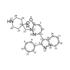 O=c1ccc(-c2c(-c3ccccc3)nn3ccccc23)nn1CC1(O)CCNCC1